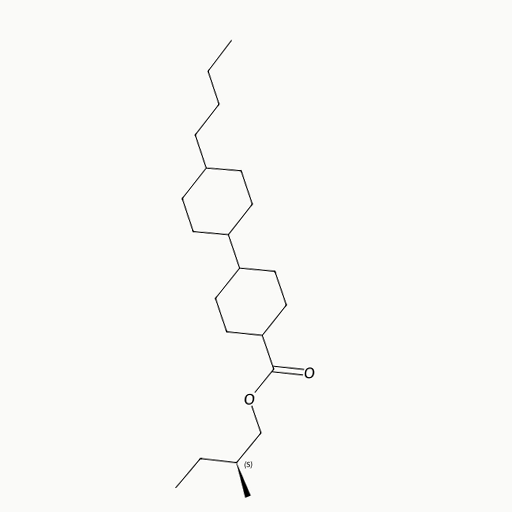 CCCCC1CCC(C2CCC(C(=O)OC[C@@H](C)CC)CC2)CC1